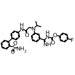 CC(C)N(CC(=O)Nc1ccc(-c2ccccc2S(N)(=O)=O)cc1)c1cccc(C(=N)NC(=O)Oc2ccc(F)cc2)c1